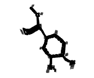 Bc1cc(C(=O)OC)ccc1Br